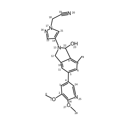 COc1cc(-c2cc(C)c3c(c2)CN(c2cnn(CC#N)c2)C3O)cnc1OC